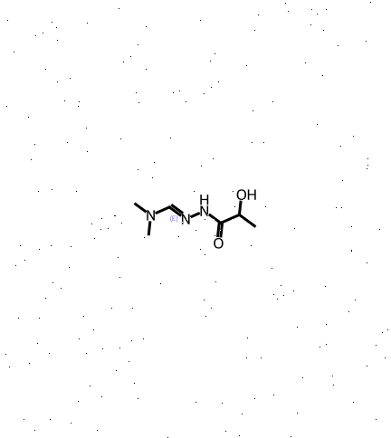 CC(O)C(=O)N/N=C/N(C)C